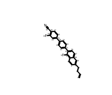 C=CCCc1ccc2c(F)c(-c3ccc(-c4ccc(C#N)c(F)c4)cc3)ccc2c1